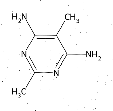 Cc1nc(N)c(C)c(N)n1